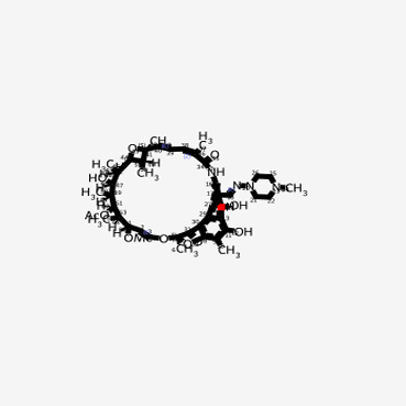 CO[C@H]1/C=C/O[C@@]2(C)Oc3c(C)c(O)c4c(O)c(c(/C=N/N5CCN(C)CC5)c(O)c4c3C2=O)NC(=O)/C(C)=C\C=C\[C@]2(C)O[C@H]([C@@H](C)[C@@H](O)[C@@H](C)[C@H](OC(C)=O)[C@@H]1C)[C@H]2C